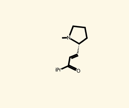 CC(C)C(=O)/C=C/[C@H]1CCCN1C